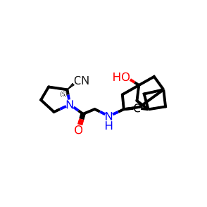 N#C[C@@H]1CCCN1C(=O)CNC12CC3(O)CC4(CC(C3)(C4)C1)C2